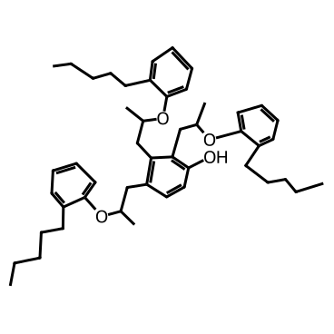 CCCCCc1ccccc1OC(C)Cc1ccc(O)c(CC(C)Oc2ccccc2CCCCC)c1CC(C)Oc1ccccc1CCCCC